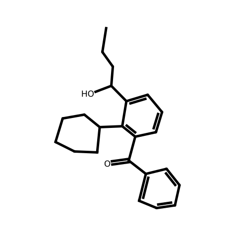 CCCC(O)c1cccc(C(=O)c2ccccc2)c1C1CCCCC1